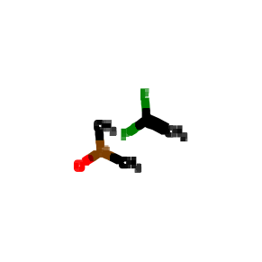 C=C(F)F.C[S+](C)[O-]